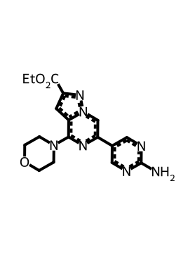 CCOC(=O)c1cc2c(N3CCOCC3)nc(-c3cnc(N)nc3)cn2n1